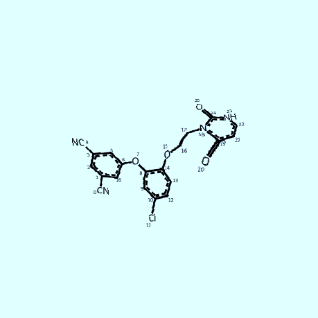 N#Cc1cc(C#N)cc(Oc2cc(Cl)ccc2OCCn2c(=O)cc[nH]c2=O)c1